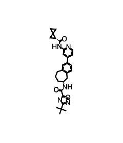 CC(C)(C)c1noc(C(=O)N[C@@H]2CCCc3cc(-c4ccnc(NC(=O)[C@@H]5CC56CC6)c4)ccc3C2)n1